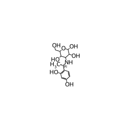 C[C@@H](NC1C(O)C(O)OC(CO)C1O)c1ccc(O)cc1O